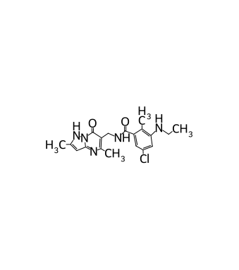 CCNc1cc(Cl)cc(C(=O)NCc2c(C)nc3cc(C)[nH]n3c2=O)c1C